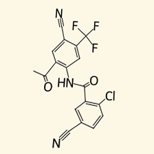 CC(=O)c1cc(C#N)c(C(F)(F)F)cc1NC(=O)c1cc(C#N)ccc1Cl